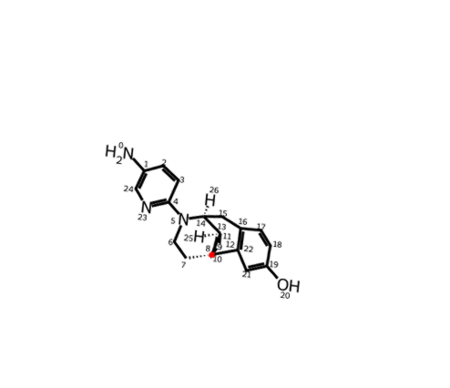 Nc1ccc(N2CC[C@@]34CCCC[C@@H]3[C@@H]2Cc2ccc(O)cc24)nc1